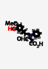 COc1ccc(C(C)(C)CCN(c2ccccc2)[C@@H](C=O)CC(=O)O)cc1O